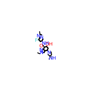 CCn1cc2c(N3CC[C@H](NC)C3)cc(O)c(C(=O)Nc3cc(F)c4nc(C)cn4c3)c2n1